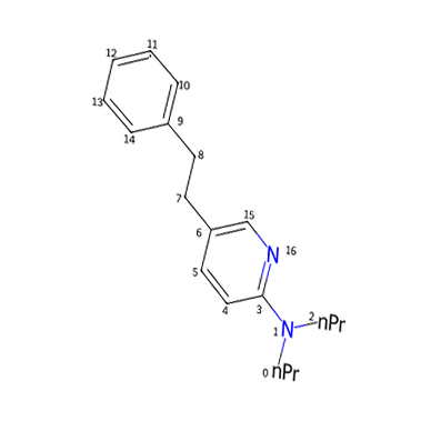 CCCN(CCC)c1ccc(CCc2c[c]ccc2)cn1